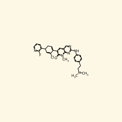 CN(C)CCc1ccc(Nc2ncc3cc(C4=CCC(c5cccnc5F)C=C4Cl)c(=O)n(C)c3n2)cc1